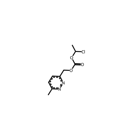 Cc1ccc(COC(=O)OC(C)Cl)nn1